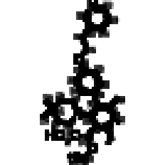 Cc1nc(C)c([C@H](OC(C)(C)C)C(=O)O)c(N2CCC(C)(C)CC2)c1-c1ccc(OCCc2cccnc2)cc1